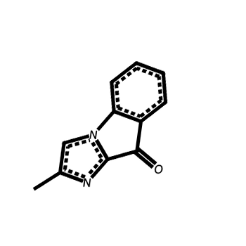 Cc1cn2c(n1)C(=O)c1ccccc1-2